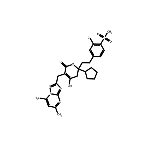 Cc1cc(C)n2nc(CC3=C(O)CC(CCc4ccc(S(C)(=O)=O)c(Cl)c4)(C4CCCC4)OC3=O)nc2n1